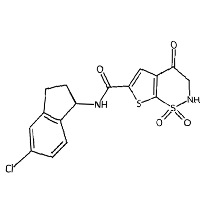 O=C(NC1CCc2cc(Cl)ccc21)c1cc2c(s1)S(=O)(=O)NCC2=O